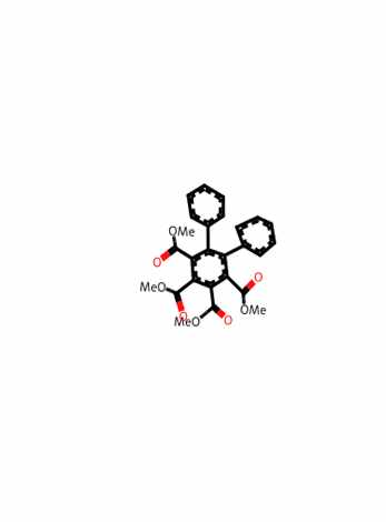 COC(=O)c1c(C(=O)OC)c(C(=O)OC)c(-c2ccccc2)c(-c2ccccc2)c1C(=O)OC